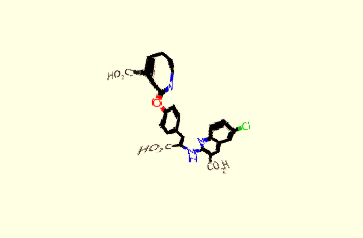 O=C(O)c1cc2cc(Cl)ccc2nc1NC(Cc1ccc(Oc2ncccc2C(=O)O)cc1)C(=O)O